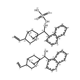 C=CC1CN2CCC1CC2C(O)c1ccnc2ccccc12.C=CC1CN2CCC1CC2C(O)c1ccnc2ccccc12.O=S(=O)(O)O